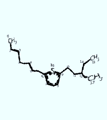 CCCCCCc1ccc(CCC(C)CC)s1